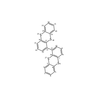 c1ccc2c(c1)Sc1cccc(-c3cccc4c3Sc3ccccc3S4)c1S2